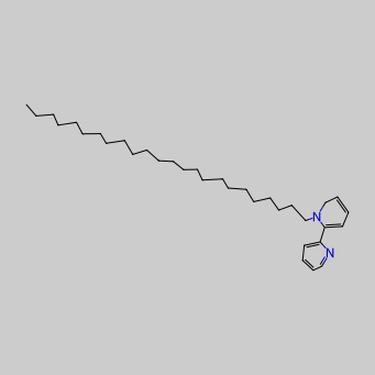 CCCCCCCCCCCCCCCCCCCCCCCCN1CC=CC=C1c1ccccn1